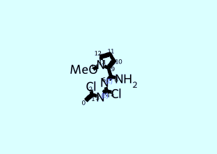 C=C(Cl)/N=C(Cl)\N=C(/N)c1cccn1OC